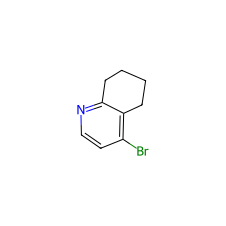 Brc1ccnc2c1CCCC2